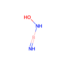 N=BNO